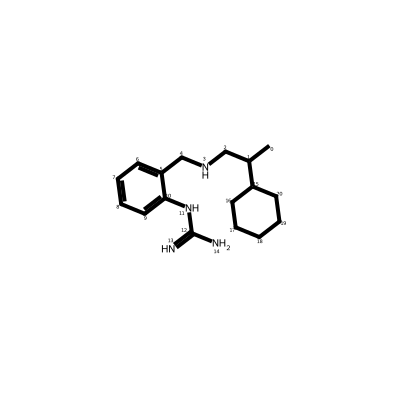 CC(CNCc1ccccc1NC(=N)N)C1CCCCC1